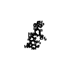 COc1cc(Nc2ncc(-c3n[nH]c4ncc(F)cc34)c(N)n2)cc(S(C)(=O)=O)c1